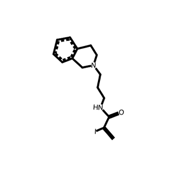 C=C(I)C(=O)NCCCN1CCc2ccccc2C1